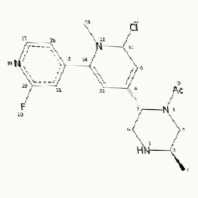 CC(=O)N1C[C@@H](C)NC[C@@H]1C1=CC(Cl)N(C)C(c2ccnc(F)c2)=C1